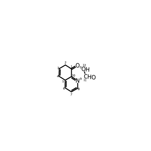 O=C1CC=Cc2cccnc21.O=CO